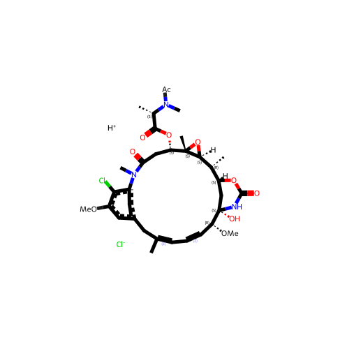 COc1cc2cc(c1Cl)N(C)C(=O)C[C@H](OC(=O)[C@H](C)N(C)C(C)=O)[C@]1(C)O[C@H]1[C@H](C)[C@@H]1C[C@@](O)(NC(=O)O1)[C@H](OC)/C=C\C=C(\C)C2.[Cl-].[H+]